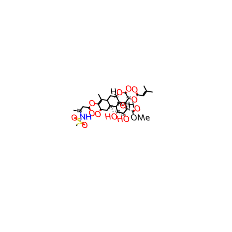 COC(=O)[C@@]12OC[C@]34C([C@@H](O)[C@@H]1O)[C@@]1(C)CC(=O)C(OC(=O)C[C@H](C)NS(C)(=O)=O)=C(C)C1C[C@H]3OC(=O)[C@H](OC(=O)C=C(C)C)[C@@H]24